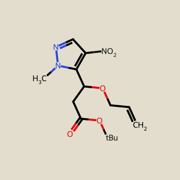 C=CCOC(CC(=O)OC(C)(C)C)c1c([N+](=O)[O-])cnn1C